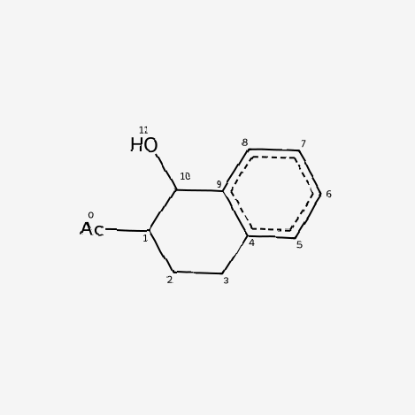 CC(=O)C1CCc2ccccc2C1O